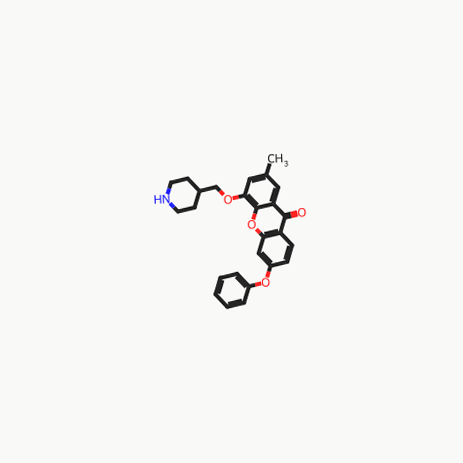 Cc1cc(OCC2CCNCC2)c2oc3cc(Oc4ccccc4)ccc3c(=O)c2c1